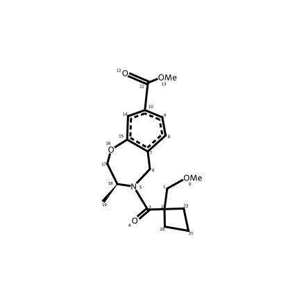 COCC1(C(=O)N2Cc3ccc(C(=O)OC)cc3OC[C@@H]2C)CCC1